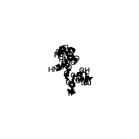 Cc1ncsc1-c1ccc(CNC(=O)[C@@H]2C[C@H](O)CN2C(=O)[C@@H](NC(=O)C2(F)CC2)C(C)(C)C)c(OCCC(C)(C)OCC(C)(C)Oc2nc(Nc3cc(S(C)(=O)=O)ccc3N[C@@H](c3cccc4c3OC(F)(F)O4)c3ncccc3Cl)nc(N3CCNCC3)n2)c1